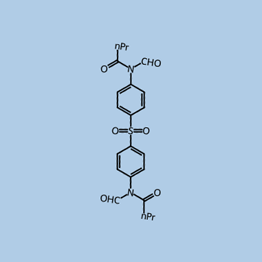 CCCC(=O)N(C=O)c1ccc(S(=O)(=O)c2ccc(N(C=O)C(=O)CCC)cc2)cc1